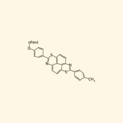 CCCCCOc1ccc(C2=Nc3ccc4c5c(ccc(c35)S2)N=C(c2ccc(C)cc2)S4)cc1